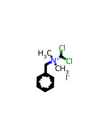 C[N+](C)(Cc1ccccc1)C(Cl)Cl.[I-]